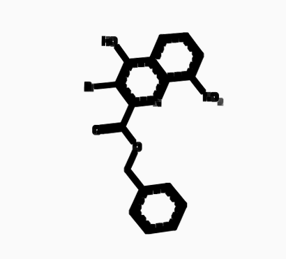 O=C(OCc1ccccc1)c1nc2c([N+](=O)[O-])cccc2c(O)c1Br